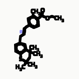 CCOC(=O)c1ccc(/C=C/Cc2ccc3c(c2)C(C)(C)CC(C)(C)S3)cc1C